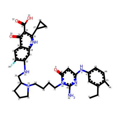 CCc1cc(Nc2cc(=O)n(CCCCN3CCCC3CNc3cc4[nH]c(C5CC5)c(C(=O)O)c(=O)c4cc3F)c(N)n2)ccc1C